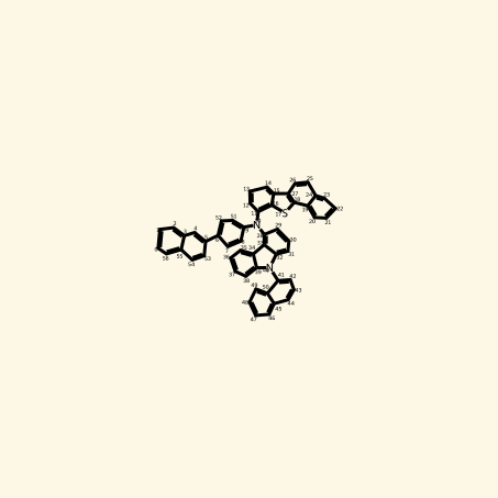 c1ccc2cc(-c3ccc(N(c4cccc5c4sc4c6ccccc6ccc54)c4cccc5c4c4ccccc4n5-c4cccc5ccccc45)cc3)ccc2c1